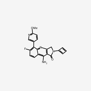 COc1ccc(-c2c(F)ccc3c(N)c4c(nc23)CN(C2=CC=C2)C4=O)cn1